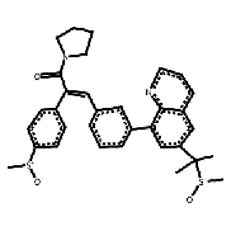 C[S+]([O-])c1ccc(/C(=C\c2cccc(-c3cc(C(C)(C)[S+](C)[O-])cc4cccnc34)c2)C(=O)N2CCCC2)cc1